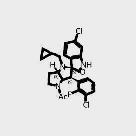 CC(=O)N1CC[C@H]2C1[C@H](c1cccc(Cl)c1F)[C@]1(C(=O)Nc3cc(Cl)ccc31)N2CC1CC1